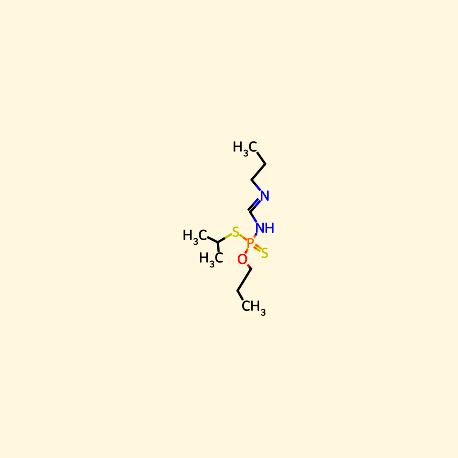 CCCN=CNP(=S)(OCCC)SC(C)C